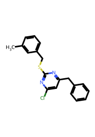 Cc1cccc(CSc2nc(Cl)cc(Cc3ccccc3)n2)c1